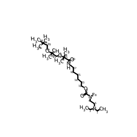 CCN(CC)CCN(F)C(=O)OCCCCCCNC(=O)C(C)(C)OCC(C)(C)OCC(C)(C)C